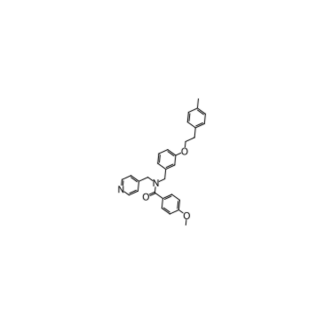 COc1ccc(C(=O)N(Cc2ccncc2)Cc2cccc(OCCc3ccc(C)cc3)c2)cc1